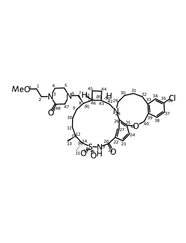 COCCN1CCN(C[C@@H]2CCC[C@H](C)[C@@H](C)S(=O)(=O)NC(=O)c3ccc4c(c3)N(CCCCc3cc(Cl)ccc3CO4)C[C@@H]3CC[C@@H]23)CC1=O